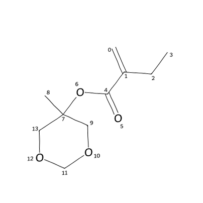 C=C(CC)C(=O)OC1(C)COCOC1